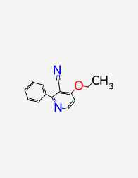 CCOc1ccnc(-c2ccccc2)c1C#N